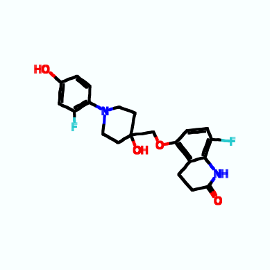 O=C1CCc2c(OCC3(O)CCN(c4ccc(O)cc4F)CC3)ccc(F)c2N1